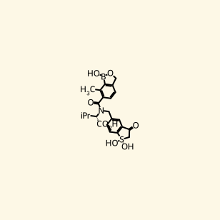 Cc1c(C(=O)N(Cc2ccc3c(c2)C(=O)CS3(O)O)[C@H](C(=O)O)C(C)C)ccc2c1B(O)OC2